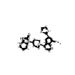 Cc1cc(-c2nccs2)cc2c(N3CCC(n4c(=O)[nH]c5ncccc54)CC3)ncnc12